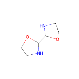 [CH]1CNC(C2NCCO2)O1